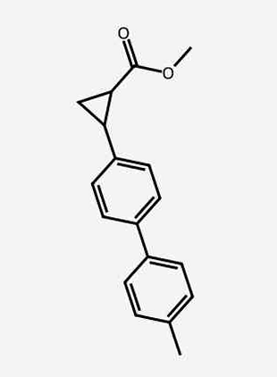 COC(=O)C1CC1c1ccc(-c2ccc(C)cc2)cc1